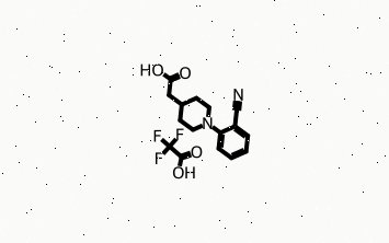 N#Cc1ccccc1N1CCC(CC(=O)O)CC1.O=C(O)C(F)(F)F